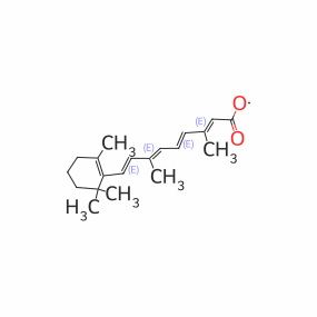 CC1=C(/C=C/C(C)=C/C=C/C(C)=C/C([O])=O)C(C)(C)CCC1